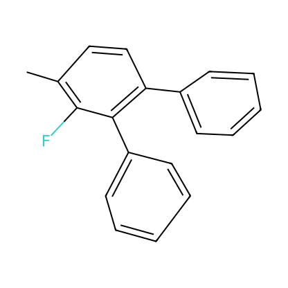 Cc1ccc(-c2ccccc2)c(-c2ccccc2)c1F